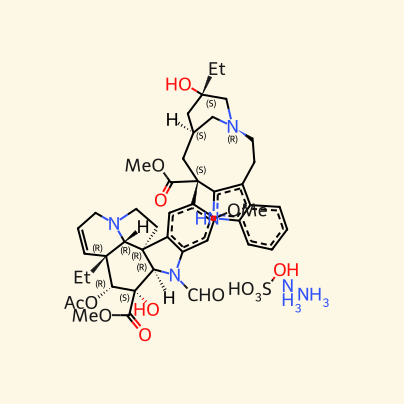 CC[C@]1(O)C[C@H]2C[N@](CCc3c([nH]c4ccccc34)[C@@](C(=O)OC)(c3cc4c(cc3OC)N(C=O)[C@H]3[C@@](O)(C(=O)OC)[C@H](OC(C)=O)[C@]5(CC)C=CCN6CC[C@]43[C@@H]65)C2)C1.N.N.O=S(=O)(O)O